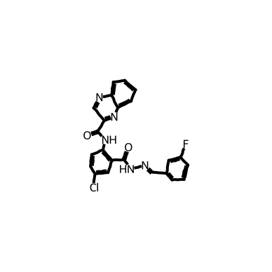 O=C(Nc1ccc(Cl)cc1C(=O)NN=Cc1cccc(F)c1)c1cnc2ccccc2n1